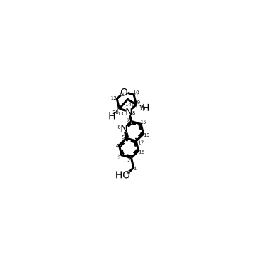 OCc1ccc2nc(N3[C@@H]4COC[C@H]3C4)ccc2c1